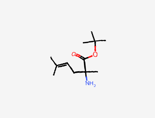 CC(C)=CCC(C)(N)C(=O)OC(C)(C)C